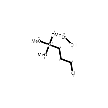 CCO.CO[Si](CCCCl)(OC)OC